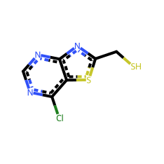 SCc1nc2ncnc(Cl)c2s1